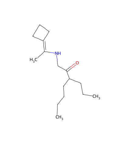 CCCCC(CCC)C(=O)CNC(C)=C1CCC1